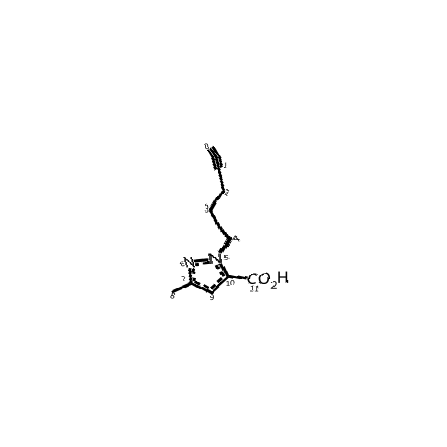 C#CCCCn1nc(C)cc1C(=O)O